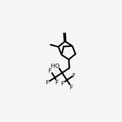 C=C1C2CC(CC(O)(C(F)(F)F)C(F)(F)F)C(C2)C1C